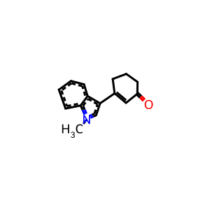 Cn1cc(C2=CC(=O)CCC2)c2ccccc21